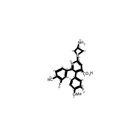 COc1ccc(-c2c(C(=O)O)cc(N3CC(N)C3)nc2-c2ccc(C#N)c(F)c2)cc1F